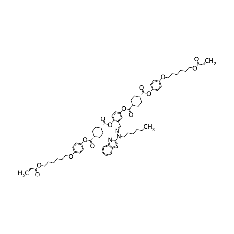 C=CC(=O)OCCCCCCOc1ccc(OC(=O)[C@H]2CC[C@H](C(=O)Oc3ccc(OC(=O)[C@H]4CC[C@@H](C(=O)Oc5ccc(OCCCCCCOC(=O)C=C)cc5)CC4)c(/C=N/N(CCCCCC)c4nc5ccccc5s4)c3)CC2)cc1